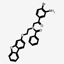 Nc1cc(C(=O)CN(CCOc2ccc3c(c2)oc2ccccc23)C(=O)c2ccccc2)ccc1Br